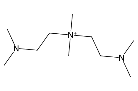 CN(C)CC[N+](C)(C)CCN(C)C